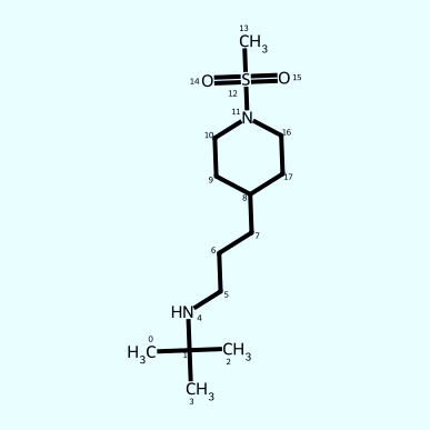 CC(C)(C)NCCCC1CCN(S(C)(=O)=O)CC1